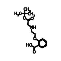 CC(C)(C)OC(=O)CNCCOc1ccccc1C(=O)O